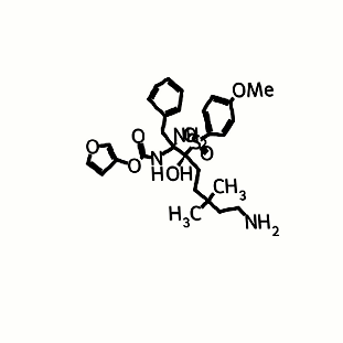 COc1ccc(S(=O)(=O)[C@](O)(CCC(C)(C)CCN)[C@](N)(Cc2ccccc2)NC(=O)Oc2ccoc2)cc1